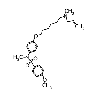 C=CCN(C)CCCCCCOc1ccc(N(C)S(=O)(=O)c2ccc(OC)cc2)cc1